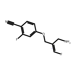 N#Cc1ccc(OC/C(=C/F)CN)cc1F